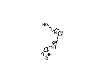 O=C1COc2ccc(CNC34CCC(CCc5c(F)cnc6ccc(OCCCO)nc56)(CC3)OC4)nc2N1